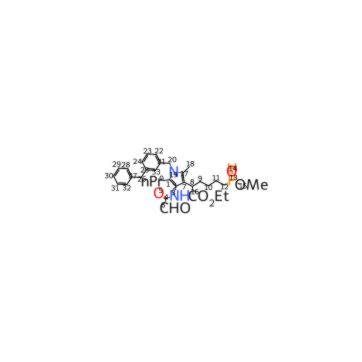 CCCc1c(NC(=O)C=O)c(C(CCCC[PH](=O)OC)C(=O)OCC)c(C)n1Cc1cccc(Cc2ccccc2)c1